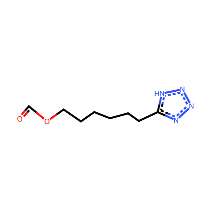 O=COCCCCCCc1nnn[nH]1